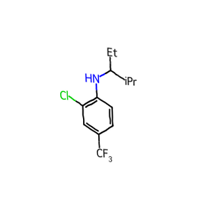 CCC(Nc1ccc(C(F)(F)F)cc1Cl)C(C)C